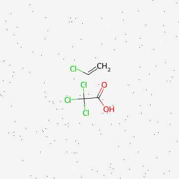 C=CCl.O=C(O)C(Cl)(Cl)Cl